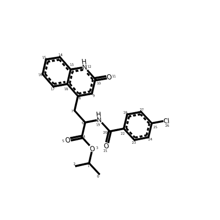 CC(C)OC(=O)C(Cc1cc(=O)[nH]c2ccccc12)NC(=O)c1ccc(Cl)cc1